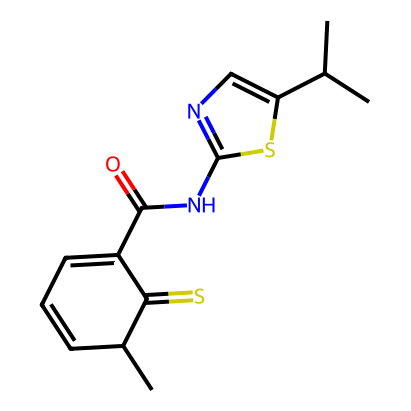 CC1C=CC=C(C(=O)Nc2ncc(C(C)C)s2)C1=S